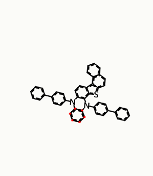 c1ccc(-c2ccc(N(c3ccccc3)c3ccc4c(sc5ccc6ccccc6c54)c3N(c3ccccc3)c3ccc(-c4ccccc4)cc3)cc2)cc1